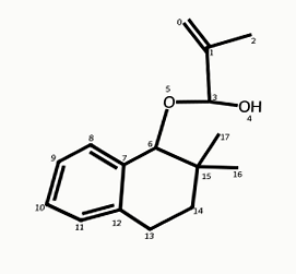 C=C(C)C(O)OC1c2ccccc2CCC1(C)C